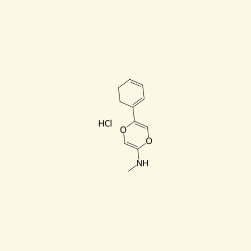 CNC1=COC(C2=CC=CCC2)=CO1.Cl